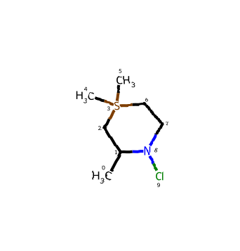 CC1CS(C)(C)CCN1Cl